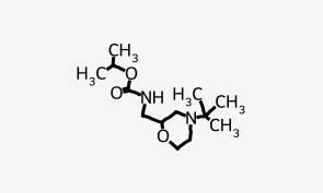 CC(C)OC(=O)NCC1CN(C(C)(C)C)CCO1